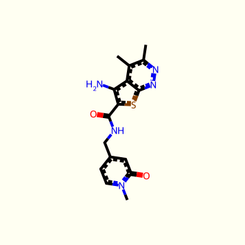 Cc1nnc2sc(C(=O)NCc3ccn(C)c(=O)c3)c(N)c2c1C